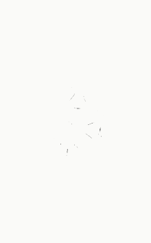 O=C(N1CCc2ncc(C(F)(F)F)cc2C1)C12CCCC1CC(NCc1cccc(Cl)c1)C2